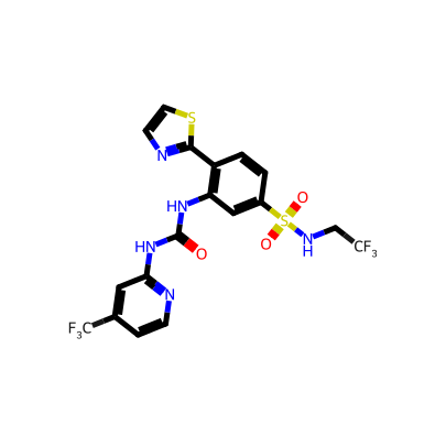 O=C(Nc1cc(C(F)(F)F)ccn1)Nc1cc(S(=O)(=O)NCC(F)(F)F)ccc1-c1nccs1